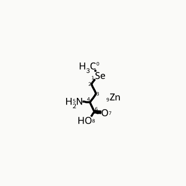 C[Se]CCC(N)C(=O)O.[Zn]